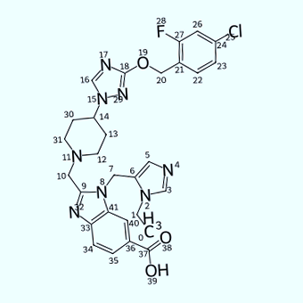 CCn1cncc1Cn1c(CN2CCC(n3cnc(OCc4ccc(Cl)cc4F)n3)CC2)nc2ccc(C(=O)O)cc21